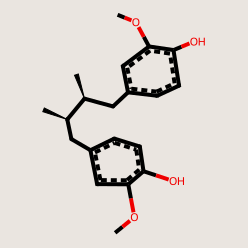 COc1cc(C[C@@H](C)[C@@H](C)Cc2ccc(O)c(OC)c2)ccc1O